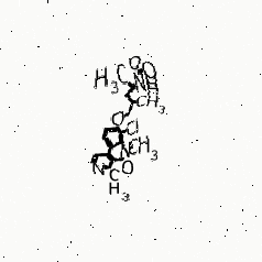 Cc1nccc2c1c(=O)n(C)c1c(Cl)c(OCC(C)CC(C)NC(=O)O)ccc21